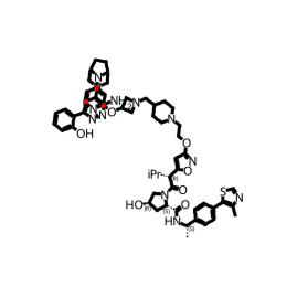 Cc1ncsc1-c1ccc([C@H](C)NC(=O)[C@@H]2C[C@@H](O)CN2C(=O)[C@@H](c2cc(OCCN3CCC(CN4CC(Oc5cc(N6C7CCC6CN(c6cc(-c8ccccc8O)nnc6N)C7)ccn5)C4)CC3)no2)C(C)C)cc1